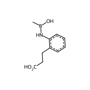 CB(O)Nc1ccccc1CCC(=O)O